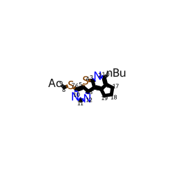 CCCCc1nc2sc3c(SCC(C)=O)ncnc3c2c2c1CCC2